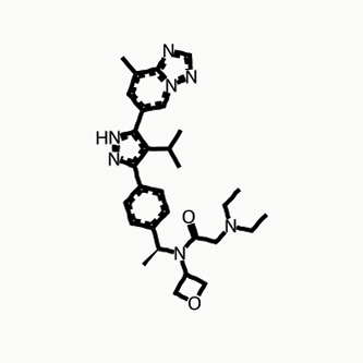 CCN(CC)CC(=O)N(C1COC1)[C@@H](C)c1ccc(-c2n[nH]c(-c3cc(C)c4ncnn4c3)c2C(C)C)cc1